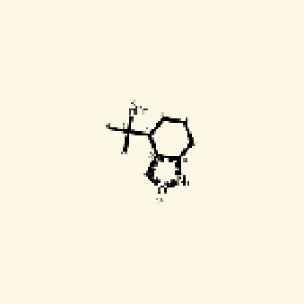 CCCC(C)(C)C1CCCc2nocc21